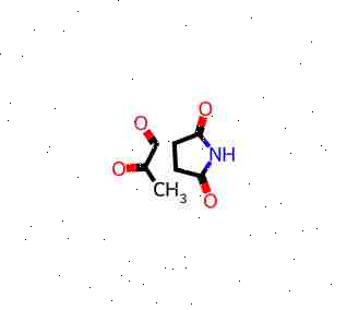 CC(=O)C=O.O=C1CCC(=O)N1